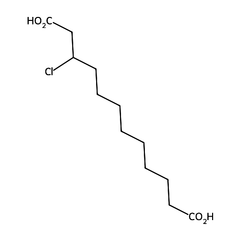 O=C(O)CCCCCCCCC(Cl)CC(=O)O